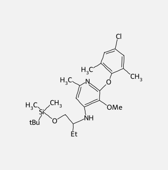 CCC(CO[Si](C)(C)C(C)(C)C)Nc1cc(C)nc(Oc2c(C)cc(Cl)cc2C)c1OC